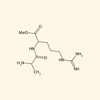 COC(=O)C(CCCNC(=N)N)NC(=O)C(C)N